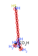 NS(=O)(=O)c1ccc(NC(=O)CN(CCN(CC(=O)NCCOCCOCCOCCOCCOCCOCCOCCOCCOCCOCCOCCOCCC(=O)NCCS)CC(=O)Nc2ccc(S(N)(=O)=O)cc2)CC(=O)O)cc1